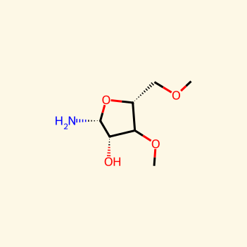 COC[C@H]1O[C@@H](N)[C@@H](O)C1OC